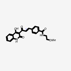 COCCNC(=O)c1ccc(/C=C/C(=O)c2c(O)c3ccccc3[nH]c2=O)cc1